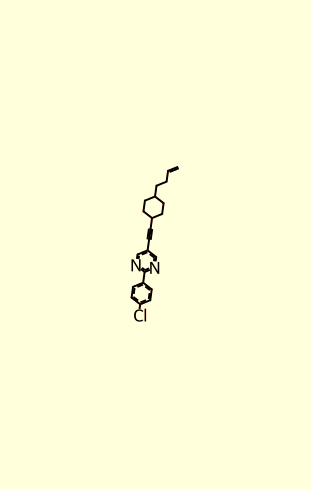 C=CCCC1CCC(C#Cc2cnc(-c3ccc(Cl)cc3)nc2)CC1